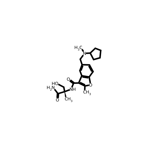 Cc1oc2ccc(CN(C)C3CCCC3)cc2c1C(=O)N[C@@](C)(CO)C(N)=O